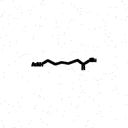 CC(=O)NCCCCCNC(C)(C)C